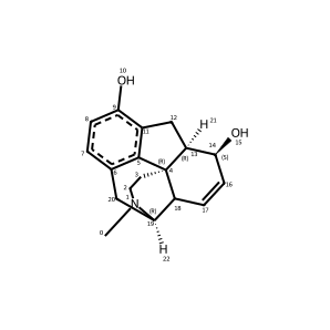 CN1CC[C@]23c4c5ccc(O)c4C[C@H]2[C@@H](O)C=CC3[C@H]1C5